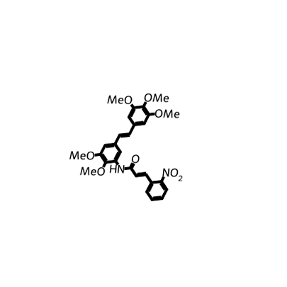 COc1cc(/C=C/c2cc(OC)c(OC)c(OC)c2)cc(NC(=O)/C=C/c2ccccc2[N+](=O)[O-])c1OC